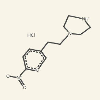 Cl.O=[N+]([O-])c1ccc(CCN2CCNCC2)cn1